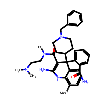 CCN(CCN(C)C)C(=O)C1=C(N)Nc2c(OC)cccc2C1(c1ccccc1C(N)=O)C1CCN(Cc2ccccc2)CC1